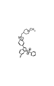 CN1CCC(Cc2nc3ccc(-c4cn(S(=O)(=O)c5ccccc5)c5cc(F)ccc45)cc3o2)CC1